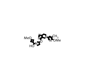 COc1ncc(N2CCc3ncnc(OC4CCN(C(O)C5CC(OC)C5)C4)c3C2)cc1C